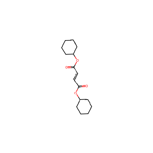 O=C(C=CC(=O)OC1CCCCC1)OC1CCCCC1